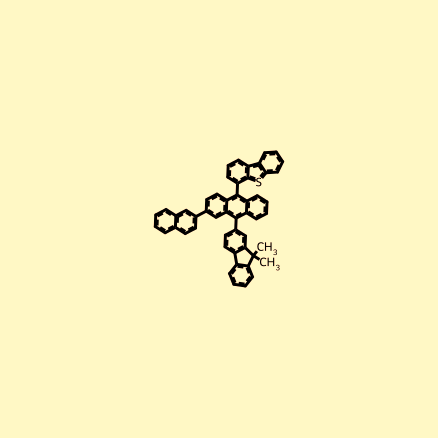 CC1(C)c2ccccc2-c2ccc(-c3c4ccccc4c(-c4cccc5c4sc4ccccc45)c4ccc(-c5ccc6ccccc6c5)cc34)cc21